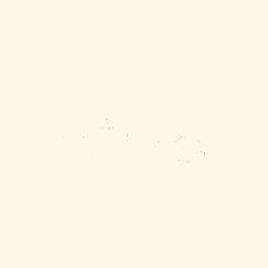 CC1CN(c2ccnc(Cl)c2)CCN1C(=O)OC(C)(C)C